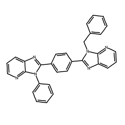 c1ccc(Cn2c(-c3ccc(-c4nc5cccnc5n4-c4ccccc4)cc3)nc3cccnc32)cc1